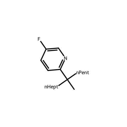 CCCCCCCC(C)(CCCCC)c1ccc(F)cn1